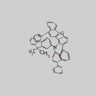 CC1(C)c2ccccc2-c2ccc(N(c3ccc(-c4ccccc4)cc3)c3c(-c4ccccc4)ccc4oc5c6ccccc6c(-c6ccccc6)cc5c34)cc21